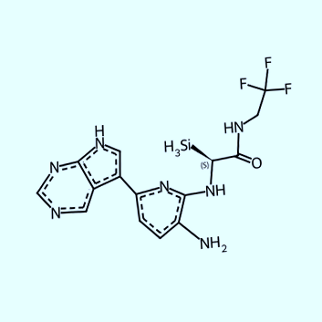 Nc1ccc(-c2c[nH]c3ncncc23)nc1N[C@@H]([SiH3])C(=O)NCC(F)(F)F